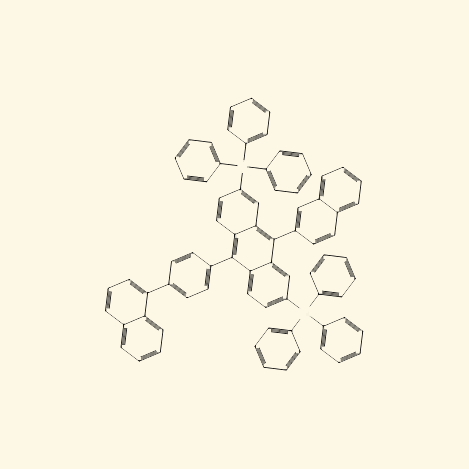 c1ccc([Si](c2ccccc2)(c2ccccc2)c2ccc3c(-c4ccc(-c5cccc6ccccc56)cc4)c4ccc([Si](c5ccccc5)(c5ccccc5)c5ccccc5)cc4c(-c4ccc5ccccc5c4)c3c2)cc1